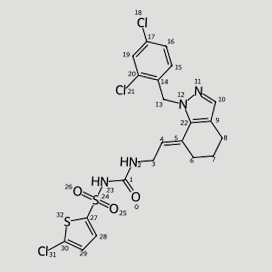 O=C(NCC=C1CCCc2cnn(Cc3ccc(Cl)cc3Cl)c21)NS(=O)(=O)c1ccc(Cl)s1